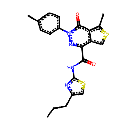 CCCc1csc(NC(=O)c2nn(-c3ccc(C)cc3)c(=O)c3c(C)scc23)n1